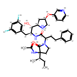 CC[C@@H](C)C1(NC(C)=O)CCN(C(CCc2ccccc2)C(=O)N[C@@H](Cc2cc(F)cc(F)c2)[C@H](O)[C@H]2C[C@@H](Oc3cccnc3)CN2)C1=O